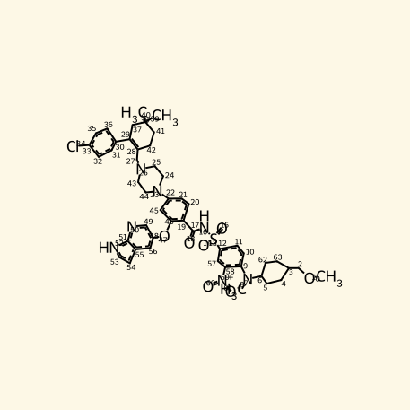 COCC1CCC(N(C)c2ccc(S(=O)(=O)NC(=O)c3ccc(N4CCN(CC5=C(c6ccc(Cl)cc6)CC(C)(C)CC5)CC4)cc3Oc3cnc4[nH]ccc4c3)cc2[N+](=O)[O-])CC1